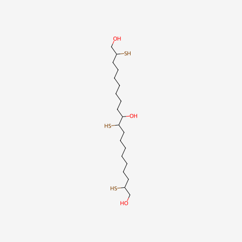 OCC(S)CCCCCCCC(O)C(S)CCCCCCCC(S)CO